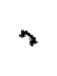 COC(=O)NC(C(=O)N1[C@@H]2C[C@@H]2C[C@H]1c1ncc(-c2ccc(-c3ccc(-c4cnc([C@@H]5C[C@H]6C[C@H]6N5C(=O)[C@@H](NC(=O)OC)C(C)C)[nH]4)cc3)cc2)[nH]1)C(C)C